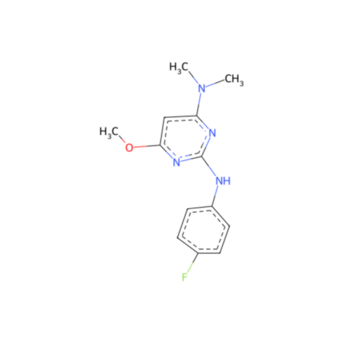 COc1cc(N(C)C)nc(Nc2ccc(F)cc2)n1